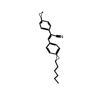 CCCCCCOc1ccc(C=C(C#N)c2ccc(OC)cc2)cc1